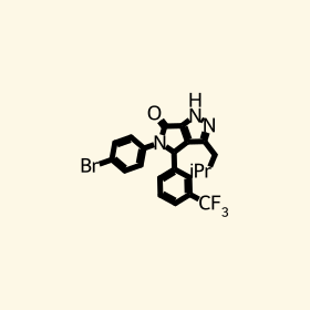 CC(C)Cc1n[nH]c2c1C(c1cccc(C(F)(F)F)c1)N(c1ccc(Br)cc1)C2=O